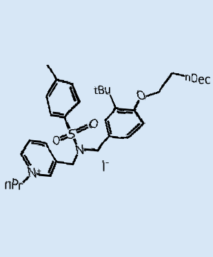 CCCCCCCCCCCCOc1ccc(CN(Cc2ccc[n+](CCC)c2)S(=O)(=O)c2ccc(C)cc2)cc1C(C)(C)C.[I-]